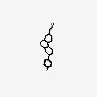 CC/C=C/C1CCC2C(CCC3CC(c4ccc(F)cc4)CCC32)C1